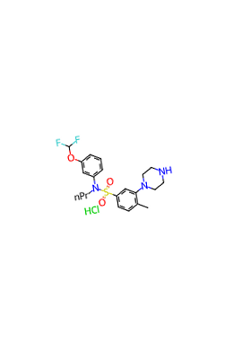 CCCN(c1cccc(OC(F)F)c1)S(=O)(=O)c1ccc(C)c(N2CCNCC2)c1.Cl